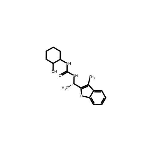 Cc1c([C@H](C)NC(=O)NC2CCCCC2O)oc2ccccc12